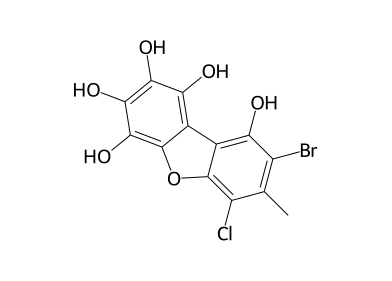 Cc1c(Br)c(O)c2c(oc3c(O)c(O)c(O)c(O)c32)c1Cl